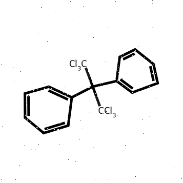 ClC(Cl)(Cl)C(c1ccccc1)(c1ccccc1)C(Cl)(Cl)Cl